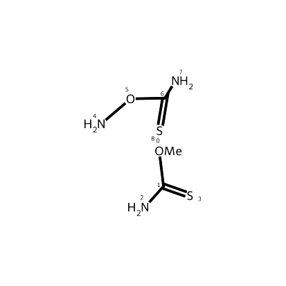 COC(N)=S.NOC(N)=S